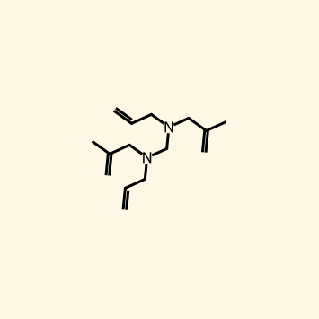 C=CCN(CC(=C)C)CN(CC=C)CC(=C)C